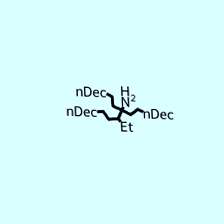 CCCCCCCCCCCCC(CC)C(N)(CCCCCCCCCCCC)CCCCCCCCCCCC